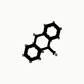 FC1c2ccc[c]c2Sc2ccccc21